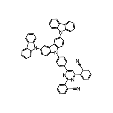 N#Cc1ccccc1-c1cc(-c2ccc(-n3c4ccc(-n5c6ccccc6c6ccccc65)cc4c4cc(-n5c6ccccc6c6ccccc65)ccc43)cc2)nc(-c2ccccc2C#N)n1